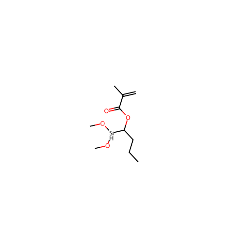 C=C(C)C(=O)OC(CCC)[SiH](OC)OC